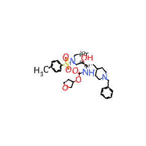 Cc1ccc(S(=O)(=O)N(CC(C)C)C[C@@H](O)[C@H](CC2CCN(Cc3ccccc3)CC2)NC(=O)OC2CCOC2)cc1